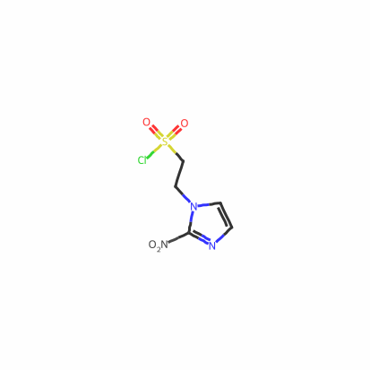 O=[N+]([O-])c1nccn1CCS(=O)(=O)Cl